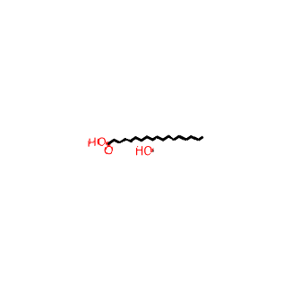 CCCCCCCCCCCCCCCCCC(=O)O.CO